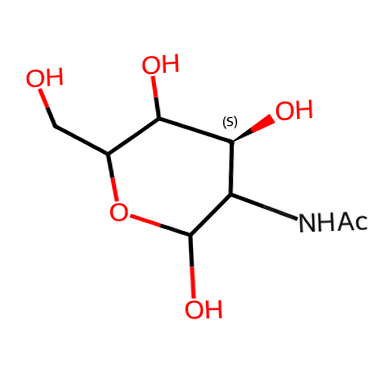 CC(=O)NC1C(O)OC(CO)C(O)[C@H]1O